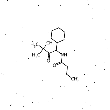 CCCC(=O)NC(C(=O)C(C)(C)C)C1CCCCC1